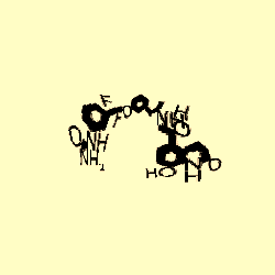 CC(Cc1cccc(OCC(F)(F)c2cccc(NC(N)=O)c2)c1)NC[C@@H](O)c1ccc(O)c2[nH]c(=O)ccc12